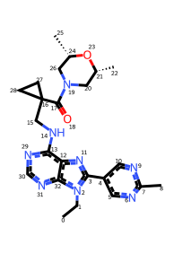 CCn1c(-c2cnc(C)nc2)nc2c(NCC3(C(=O)N4C[C@@H](C)O[C@@H](C)C4)CC3)ncnc21